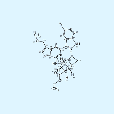 CCOC(=O)[C@H]1[C@H](Nc2nc(-c3n[nH]c4ncc(F)cc34)nn3c(COC)ccc23)[C@@H]2CC[C@H]1C1CCC12